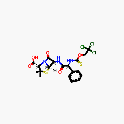 CC1(C)S[C@@H]2[C@H](NC(=O)[C@@H](NC(=S)OCC(Cl)(Cl)Cl)c3ccccc3)C(=O)N2[C@H]1C(=O)O